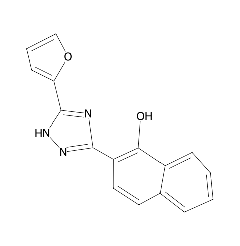 Oc1c(-c2n[nH]c(-c3ccco3)n2)ccc2ccccc12